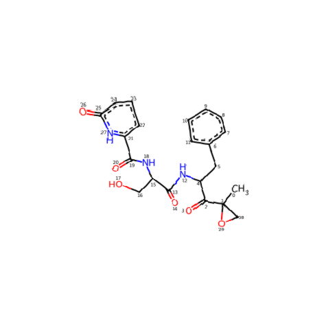 CC1(C(=O)C(Cc2ccccc2)NC(=O)C(CO)NC(=O)c2cccc(=O)[nH]2)CO1